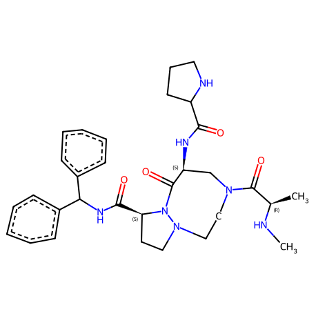 CN[C@H](C)C(=O)N1CCN2CC[C@@H](C(=O)NC(c3ccccc3)c3ccccc3)N2C(=O)[C@@H](NC(=O)C2CCCN2)C1